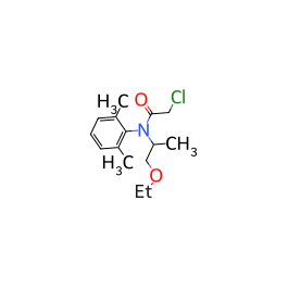 CCOCC(C)N(C(=O)CCl)c1c(C)cccc1C